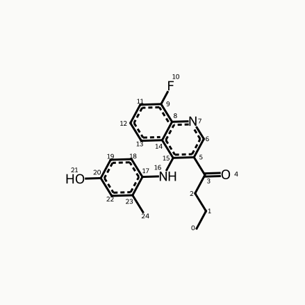 CCCC(=O)c1cnc2c(F)cccc2c1Nc1ccc(O)cc1C